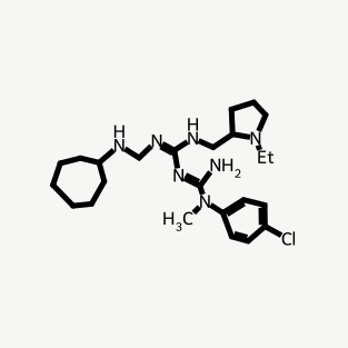 CCN1CCCC1CNC(=N/CNC1CCCCCC1)/N=C(\N)N(C)c1ccc(Cl)cc1